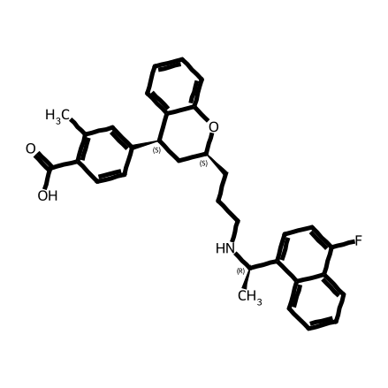 Cc1cc([C@@H]2C[C@H](CCCN[C@H](C)c3ccc(F)c4ccccc34)Oc3ccccc32)ccc1C(=O)O